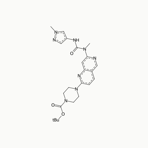 CN(C(=O)Nc1cnn(C)c1)c1cc2nc(N3CCN(C(=O)OC(C)(C)C)CC3)ccc2cn1